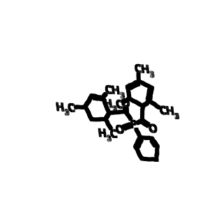 CC1=CC(C)C(C(=O)P(=O)(C(=O)C2C(C)=CC(C)CC2C)C2=CCCC=C2)C(C)=C1